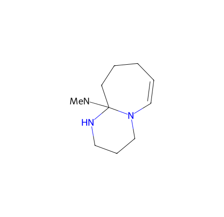 CNC12CCCC=CN1CCCN2